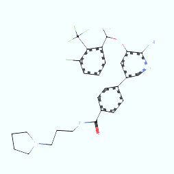 CC(Oc1cc(-c2ccc(C(=O)NCCCN3CCCC3)cc2)cnc1N)c1cccc(F)c1C(F)(F)F